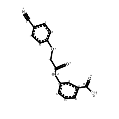 N#Cc1ccc(OCC(=O)Nc2cccc(C(=O)O)c2)cc1